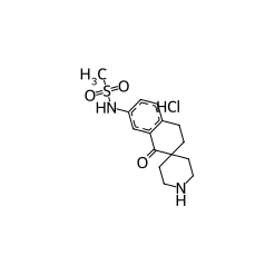 CS(=O)(=O)Nc1ccc2c(c1)C(=O)C1(CCNCC1)CC2.Cl